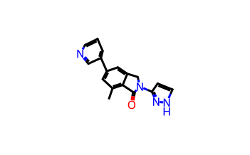 Cc1cc(-c2cccnc2)cc2c1C(=O)N(c1cc[nH]n1)C2